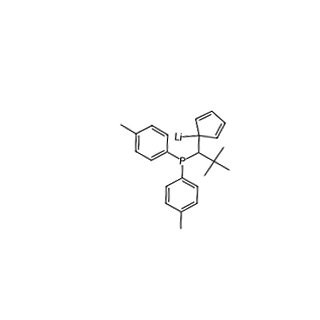 [Li][C]1(C(P(c2ccc(C)cc2)c2ccc(C)cc2)C(C)(C)C)C=CC=C1